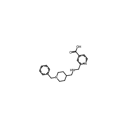 O=C(O)c1ccnc(CNCC2CCN(Cc3ccccc3)CC2)c1